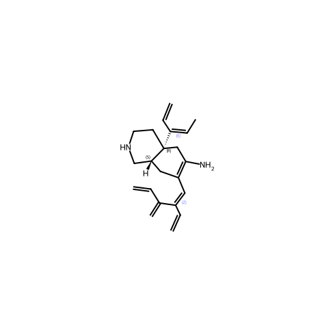 C=CC(=C)/C(C=C)=C\C1=C(N)C[C@]2(/C(C=C)=C/C)CCNC[C@H]2C1